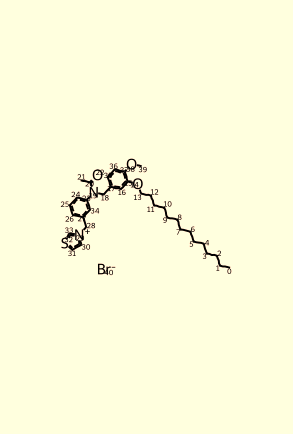 CCCCCCCCCCCCCCOc1cc(CN(C(C)=O)c2cccc(C[n+]3ccsc3)c2)ccc1OC.[Br-]